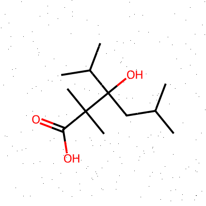 CC(C)CC(O)(C(C)C)C(C)(C)C(=O)O